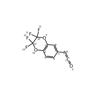 O=C=Nc1ccc2c(c1)OC(F)(F)C(F)(F)O2